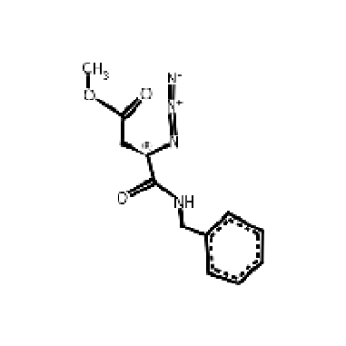 COC(=O)C[C@@H](N=[N+]=[N-])C(=O)NCc1ccccc1